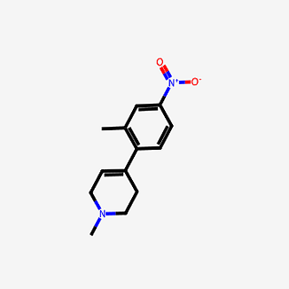 Cc1cc([N+](=O)[O-])ccc1C1=CCN(C)CC1